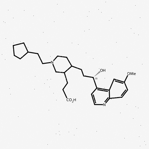 COc1ccc2nccc([C@@H](O)CCC3CCN(CCC4CCCC4)CC3CCC(=O)O)c2c1